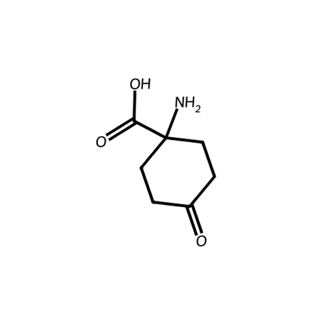 NC1(C(=O)O)CCC(=O)CC1